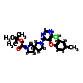 Cc1ccc(Oc2cncnc2N2CCC3(CCN(C(=O)OC(C)(C)C)C3)C2)c(Cl)c1